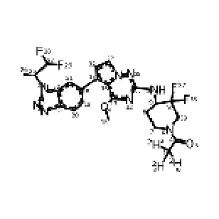 [2H]C([2H])([2H])C(=O)N1CC[C@@H](Nc2nc(OC)c3c(-c4ccc5nnn([C@@H](C)C(F)F)c5c4)ccn3n2)C(F)(F)C1